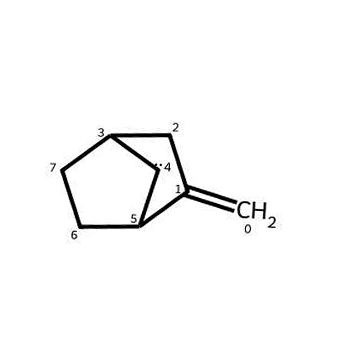 C=C1CC2[C]C1CC2